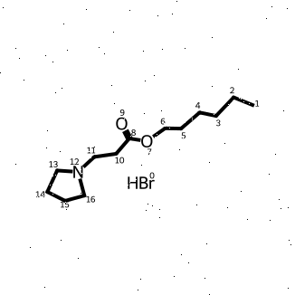 Br.CCCCCCOC(=O)CCN1CCCC1